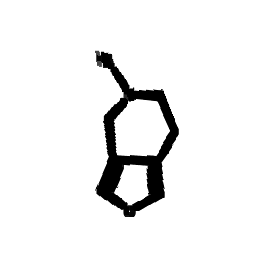 SN1CCc2cocc2C1